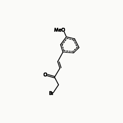 COc1cccc(/C=C/C(=O)CBr)c1